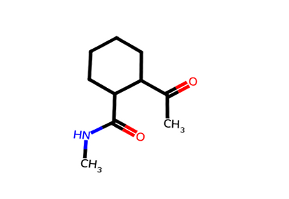 CNC(=O)C1CCCCC1C(C)=O